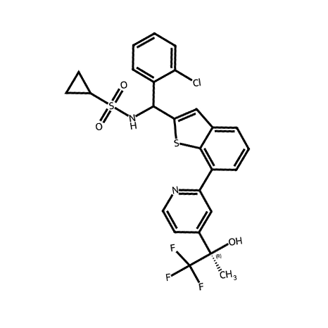 C[C@@](O)(c1ccnc(-c2cccc3cc(C(NS(=O)(=O)C4CC4)c4ccccc4Cl)sc23)c1)C(F)(F)F